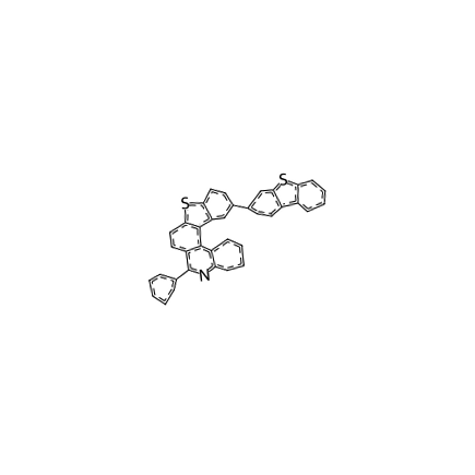 c1ccc(-c2nc3ccccc3c3c2ccc2sc4ccc(-c5ccc6c(c5)sc5ccccc56)cc4c23)cc1